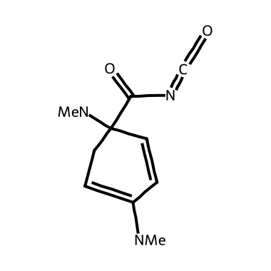 CNC1=CCC(NC)(C(=O)N=C=O)C=C1